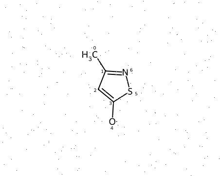 Cc1cc([O])sn1